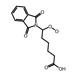 [O]OC(CCCCC(=O)O)N1C(=O)c2ccccc2C1=O